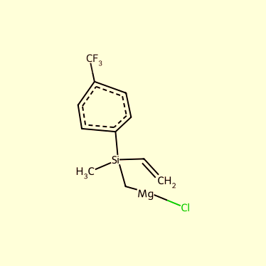 C=C[Si](C)([CH2][Mg][Cl])c1ccc(C(F)(F)F)cc1